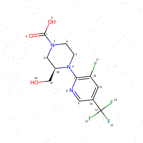 O=C(O)N1CCN(c2ncc(C(F)(F)F)cc2F)[C@@H](CO)C1